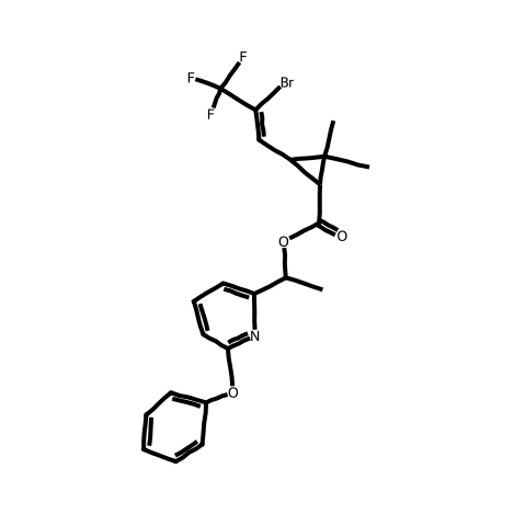 CC(OC(=O)C1C(C=C(Br)C(F)(F)F)C1(C)C)c1cccc(Oc2ccccc2)n1